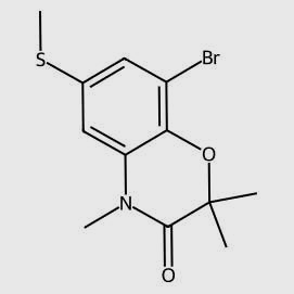 CSc1cc(Br)c2c(c1)N(C)C(=O)C(C)(C)O2